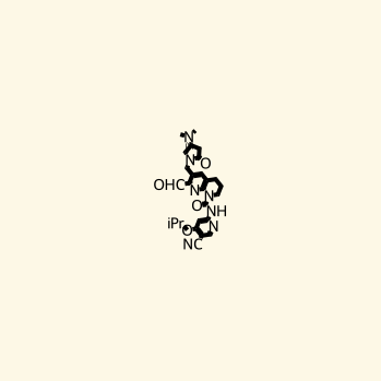 CC(C)Oc1cc(NC(=O)N2CCCc3cc(CN4C[C@@H](N(C)C)CC4=O)c(C=O)nc32)ncc1C#N